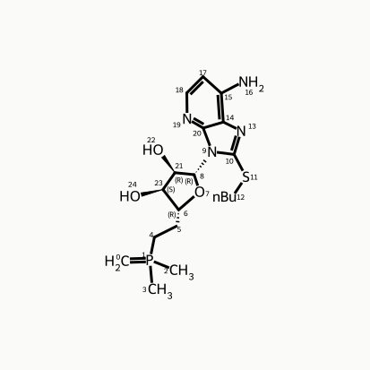 C=P(C)(C)CC[C@H]1O[C@@H](n2c(SCCCC)nc3c(N)ccnc32)[C@H](O)[C@@H]1O